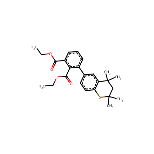 CCOC(=O)c1cccc(-c2ccc3c(c2)C(C)(C)CC(C)(C)S3)c1C(=O)OCC